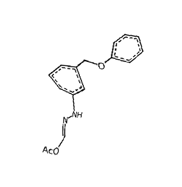 CC(=O)OC=NNc1cccc(COc2ccccc2)c1